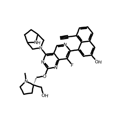 C#Cc1cccc2cc(O)cc(-c3ncc4c(N5CC6CCC(C5)N6)nc(OC[C@]5(CO)CCCN5C)nc4c3F)c12